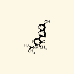 CC(C)Nc1ncc(-c2ccc3cc(O)cnc3n2)c(=O)n1C